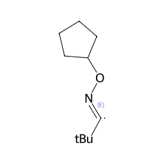 CC(C)(C)/[C]=N/OC1CCCC1